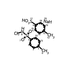 Cc1ccc(S(=O)(=O)NCl)cc1.Cc1ccc(S(=O)(=O)O)cc1.[NaH]